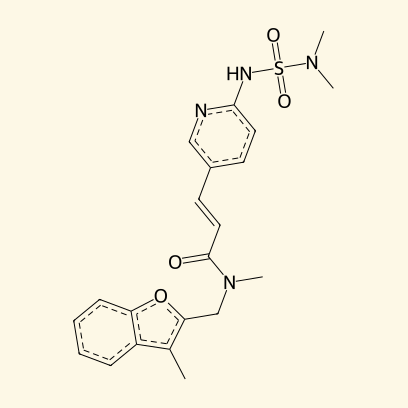 Cc1c(CN(C)C(=O)/C=C/c2ccc(NS(=O)(=O)N(C)C)nc2)oc2ccccc12